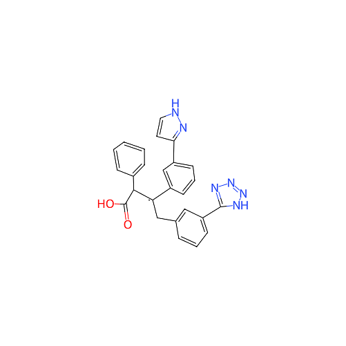 O=C(O)C([C](Cc1cccc(-c2nnn[nH]2)c1)c1cccc(-c2cc[nH]n2)c1)c1ccccc1